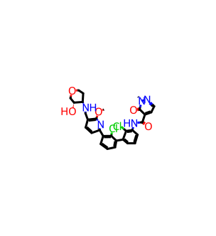 COc1nc(-c2cccc(-c3cccc(NC(=O)c4ccnn(C)c4=O)c3Cl)c2Cl)ccc1CN[C@@H]1CCOC[C@H]1O